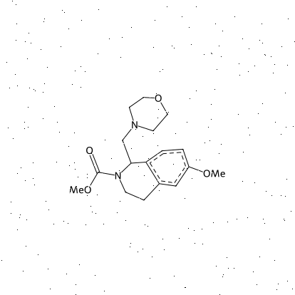 COC(=O)N1CCc2cc(OC)ccc2C1CN1CCOCC1